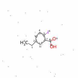 CCc1ccc(I)c(C(=O)O)c1